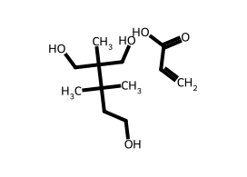 C=CC(=O)O.CC(C)(CCO)C(C)(CO)CO